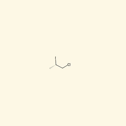 C[C@H](I)CCl